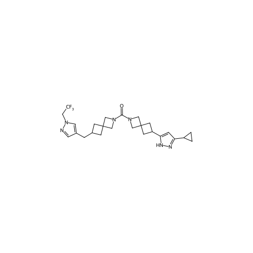 O=C(N1CC2(CC(Cc3cnn(CC(F)(F)F)c3)C2)C1)N1CC2(CC(c3cc(C4CC4)n[nH]3)C2)C1